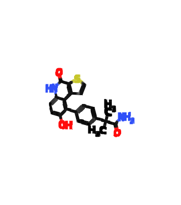 CC(C)(C(N)=O)c1ccc(-c2c(O)ccc3[nH]c(=O)c4sccc4c23)cc1